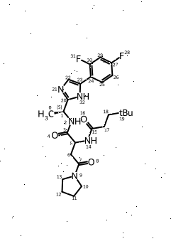 C[C@H](NC(=O)C(CC(=O)N1CCCC1)NC(=O)CCC(C)(C)C)c1ncc(-c2ccc(F)cc2F)[nH]1